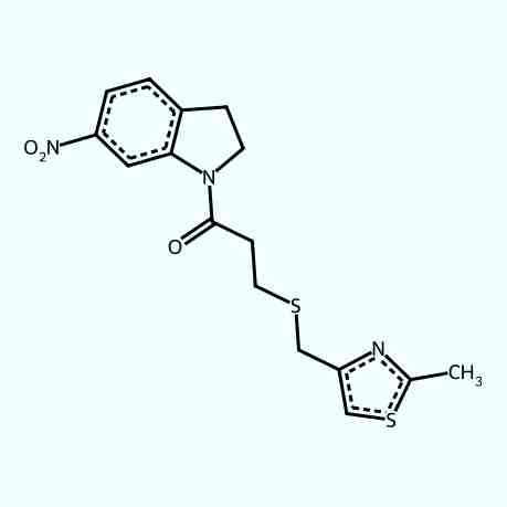 Cc1nc(CSCCC(=O)N2CCc3ccc([N+](=O)[O-])cc32)cs1